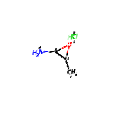 CC1OC1N.Cl